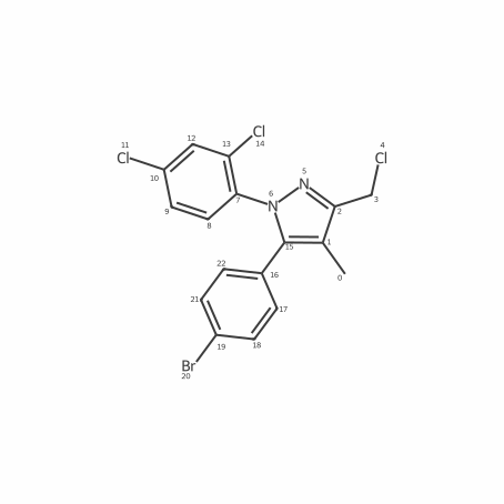 Cc1c(CCl)nn(-c2ccc(Cl)cc2Cl)c1-c1ccc(Br)cc1